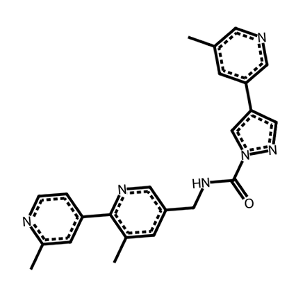 Cc1cncc(-c2cnn(C(=O)NCc3cnc(-c4ccnc(C)c4)c(C)c3)c2)c1